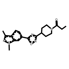 CCC(=O)N1CCC(c2noc(-c3ccc4c(C)nn(C)c4c3)n2)CC1